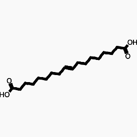 O=C(O)CCCCCCCC=CCCCCCCCC(=O)O